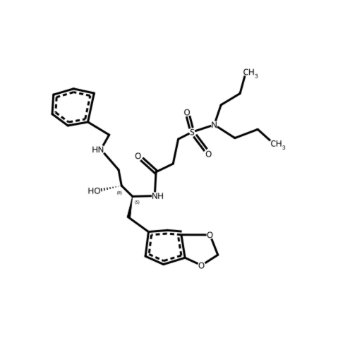 CCCN(CCC)S(=O)(=O)CCC(=O)N[C@@H](Cc1ccc2c(c1)OCO2)[C@H](O)CNCc1ccccc1